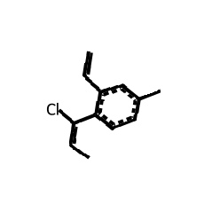 C=Cc1cc(C)ccc1/C(Cl)=C\C